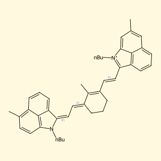 CCCCn1/c(=C/C=C2\CCCC(/C=C/C3=[N+](CCCC)c4cc(C)cc5cccc3c45)=C2C)c2cccc3c(C)ccc1c32